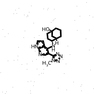 Cn1nnnc1-c1cnc2[nH]ccc2c1N[C@H]1CC[C@]2(O)CCC[C@H]1C2